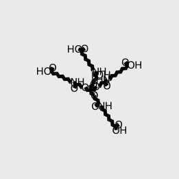 O=C(O)CCCCCCCNC(=O)CCOCC(COCCC(=O)NCCCCCCCC(=O)O)(COCCC(=O)NCCCCCCCC(=O)O)COCCC(O)(I)NCCCCCCCC(=O)O